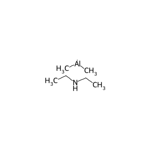 CCNCC.[CH3][Al][CH3]